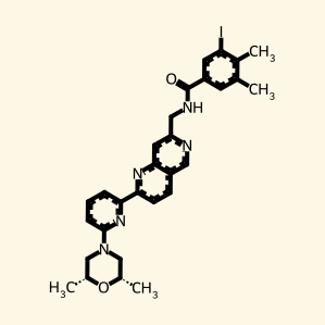 Cc1cc(C(=O)NCc2cc3nc(-c4cccc(N5C[C@@H](C)O[C@@H](C)C5)n4)ccc3cn2)cc(I)c1C